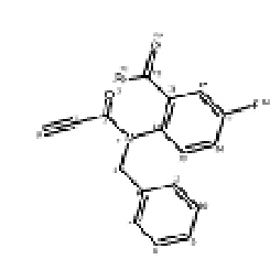 C#CC(=O)N(Cc1ccccc1)c1ccc(F)cc1C(=O)C(C)C